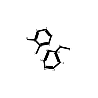 Cc1ccccc1C.[CH2]Cc1ccccc1